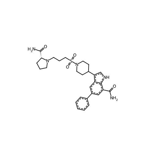 NC(=O)c1cc(-c2ccccc2)cc2c(C3CCN(S(=O)(=O)CCCN4CCC[C@@H]4C(N)=O)CC3)c[nH]c12